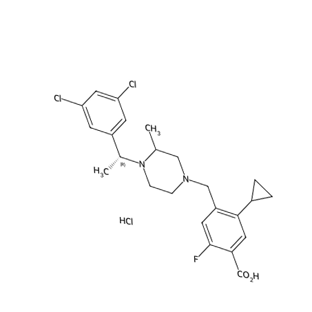 CC1CN(Cc2cc(F)c(C(=O)O)cc2C2CC2)CCN1[C@H](C)c1cc(Cl)cc(Cl)c1.Cl